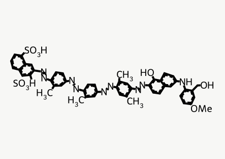 COc1ccc(Nc2ccc3c(O)c(N=Nc4cc(C)c(N=Nc5ccc(N=Nc6ccc(N=Nc7cc8c(S(=O)(=O)O)cccc8cc7S(=O)(=O)O)c(C)c6)c(C)c5)cc4C)ccc3c2)c(CO)c1